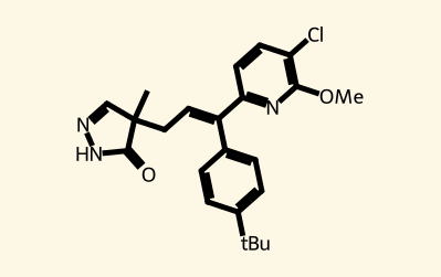 COc1nc(C(=CCC2(C)C=NNC2=O)c2ccc(C(C)(C)C)cc2)ccc1Cl